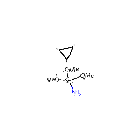 C1CC1.CO[Si](N)(OC)OC